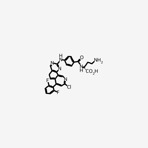 NCC[C@@H](NC(=O)c1ccc(Nc2ncc3c(n2)C2=CN=C(Cl)C=C(c4c(F)cccc4F)C2=CC3)cc1)C(=O)O